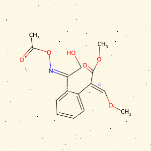 CO/C=C(/C(=O)OC)c1ccccc1C(CO)=NOC(C)=O